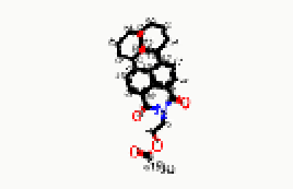 CC(C)(C)C(=O)OCCN1C(=O)c2ccc(C3CCCCC3)c3c(C4CCCCC4)ccc(c23)C1=O